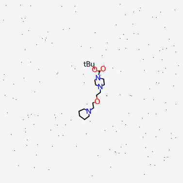 CC(C)(C)OC(=O)N1CCN(CCOCCN2CCCCC2)CC1